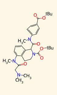 CN(C)CC(=O)N(C)c1cccc2c1CCN(C(=O)OC(C)(C)C)C2C(=O)N(C)c1ccc(C(=O)OC(C)(C)C)cc1